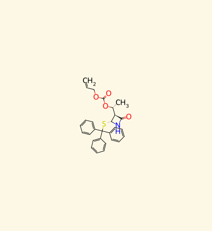 C=CCOC(=O)O[C@H](C)[C@H]1C(=O)N[C@@H]1SC(c1ccccc1)(c1ccccc1)c1ccccc1